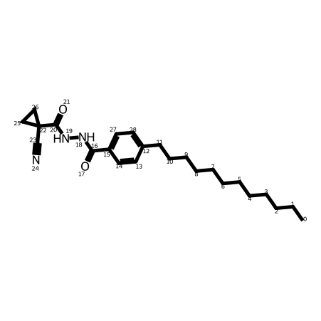 CCCCCCCCCCCCc1ccc(C(=O)NNC(=O)C2(C#N)CC2)cc1